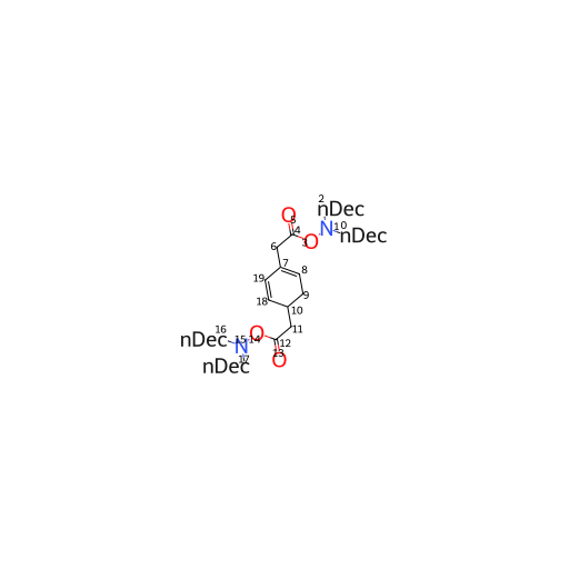 CCCCCCCCCCN(CCCCCCCCCC)OC(=O)CC1=CCC(CC(=O)ON(CCCCCCCCCC)CCCCCCCCCC)C=C1